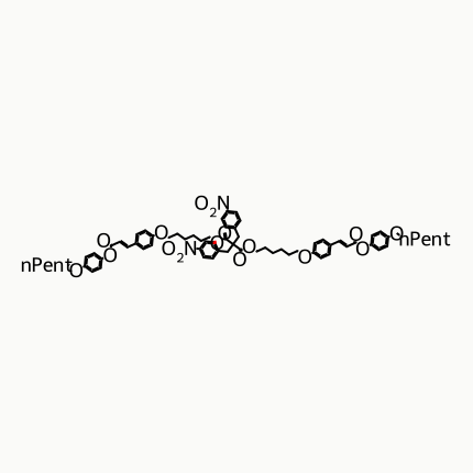 CCCCCOc1ccc(OC(=O)C=Cc2ccc(OCCCCCCOC(=O)C(Cc3ccc([N+](=O)[O-])cc3)(Cc3ccc([N+](=O)[O-])cc3)C(=O)OCCCCCCOc3ccc(C=CC(=O)Oc4ccc(OCCCCC)cc4)cc3)cc2)cc1